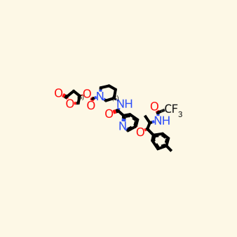 Cc1ccc(C(Oc2ccc(C(=O)N[C@H]3CCCN(C(=O)O[C@@H]4COC(=O)C4)C3)nc2)C(C)NC(=O)C(F)(F)F)cc1